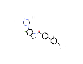 CC(=O)NCc1ccc(-c2ccc(C(=O)N3CCc4cc(F)c(N5C[C@@H](C)N[C@@H](C)C5)cc43)cc2)c(C)c1